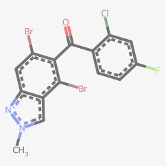 Cn1cc2c(Br)c(C(=O)c3ccc(F)cc3Cl)c(Br)cc2n1